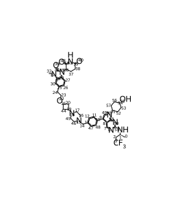 C[C@@H](CC(F)(F)F)Nc1ncc2c(-c3ccc(CN4CCN(C5CC(OCCc6ccc7c(c6)n(C)c(=O)n7C6CCC(=O)NC6=O)C5)CC4)cc3)cn([C@H]3CC[C@H](O)CC3)c2n1